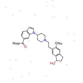 CNC(=O)c1ccc2ccn(C3CCN(CCc4cc5c(cc4OC)CCC5O)CC3)c2c1